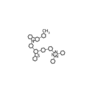 Cc1cccc(-c2ccc3c(c2)c2ccccc2n3-c2cccc(-c3cc(-c4ccc(-c5cccc(-c6nc(-c7ccccc7)nc(-c7ccccc7)n6)c5)cc4)c4sc5ccccc5c4c3)c2)c1